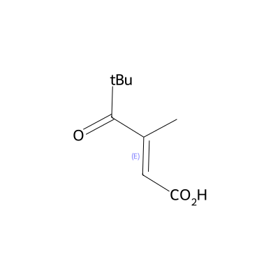 C/C(=C\C(=O)O)C(=O)C(C)(C)C